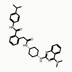 CC(C)c1ccc(NC(=O)c2ccccc2CC(=O)N[C@H]2CC[C@@H](Nc3nc(N(C)C)c4ccccc4n3)CC2)cc1